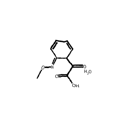 CON=C1C=CC=CC1C(=O)C(=O)O.O